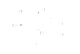 CC(C)(C)OC1O[C@H](CO)[C@@H](O)[C@H](O)[C@H]1O